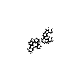 c1ccc2c(c1)sc1ccc(-c3nc(-n4c5ccc6sc7ccc8c9ccccc9n9c%10cccc4c%10c5c6c7c89)nc4sc5ccccc5c34)cc12